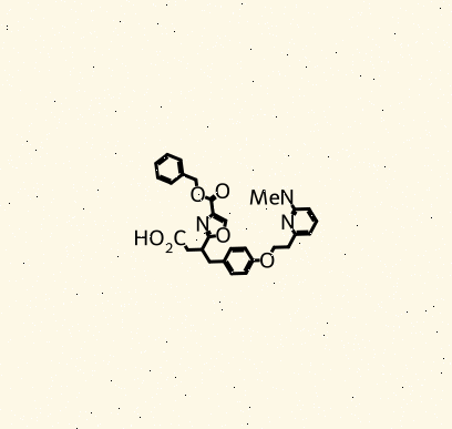 CNc1cccc(CCOc2ccc(CC(CC(=O)O)c3nc(C(=O)OCc4ccccc4)co3)cc2)n1